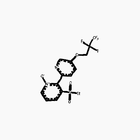 CCS(=O)(=O)c1ccc[n+]([O-])c1-c1ccc(OCC(F)(F)C(F)(F)F)cn1